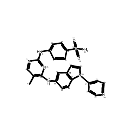 Cc1cnc(Nc2ccc(S(N)(=O)=O)cc2)nc1Nc1ccc2c(ccn2-c2ccncc2)c1